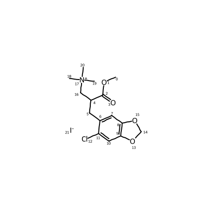 COC(=O)C(Cc1cc2c(cc1Cl)OCO2)C[N+](C)(C)C.[I-]